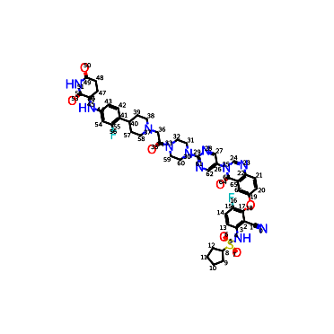 N#Cc1c(NS(=O)(=O)C2CCCC2)ccc(F)c1Oc1ccc2ncn(-c3cnc(N4CCN(C(=O)CN5CCC(c6ccc(N[C@@H]7CCC(=O)NC7=O)cc6F)CC5)CC4)nc3)c(=O)c2c1